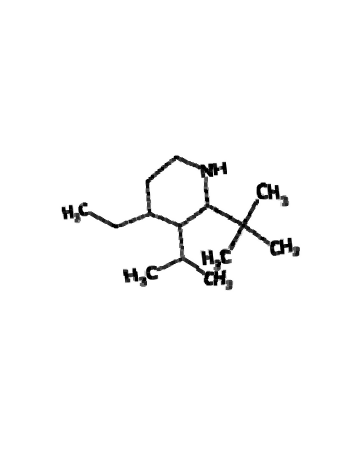 CCC1CCNC(C(C)(C)C)C1C(C)C